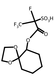 O=C(OC1CCCCC12OCCO2)C(F)(C(F)(F)F)S(=O)(=O)O